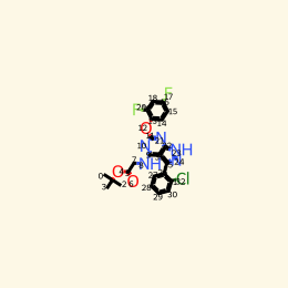 CC(C)(C)OC(=O)CNc1nc(Oc2ccc(F)cc2F)nc2[nH]nc(-c3ccccc3Cl)c12